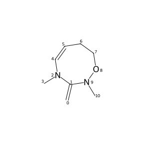 C=C1N(C)/C=C\CCON1C